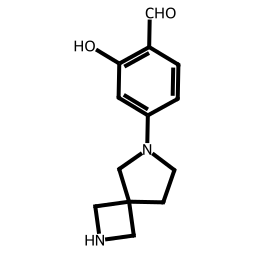 O=Cc1ccc(N2CCC3(CNC3)C2)cc1O